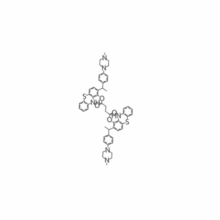 CC(c1ccc(N2CCN(C)CC2)cc1)c1ccc2c(c1OC(=O)CCC(=O)Oc1c(C(C)c3ccc(N4CCN(C)CC4)cc3)ccc3c1Nc1ccccc1S3)Nc1ccccc1S2